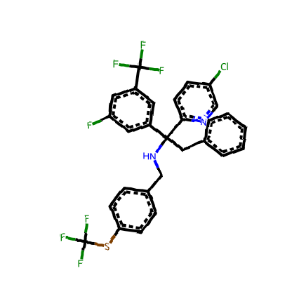 Fc1cc(C(F)(F)F)cc(C(Cc2ccccc2)(NCc2ccc(SC(F)(F)F)cc2)c2ccc(Cl)cn2)c1